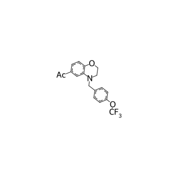 CC(=O)c1ccc2c(c1)N(Cc1ccc(OC(F)(F)F)cc1)CCO2